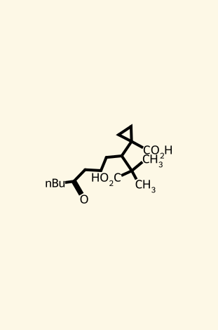 CCCCC(=O)CCCC(C(C)(C)C(=O)O)C1(C(=O)O)CC1